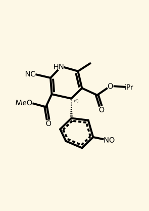 COC(=O)C1=C(C#N)NC(C)=C(C(=O)OC(C)C)[C@@H]1c1cccc(N=O)c1